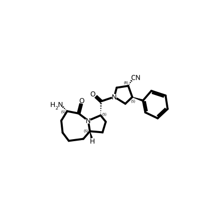 N#C[C@H]1CN(C(=O)[C@@H]2CC[C@@H]3CCCC[C@H](N)C(=O)N32)C[C@@H]1c1ccccc1